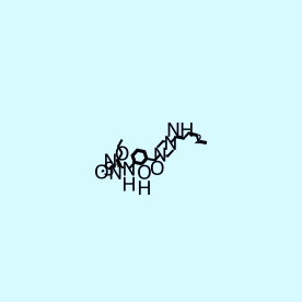 C=C/C=C\C=C(/N)N1CCN(C(=O)c2cccc(Nc3n[s+]([O-])nc3OCC)c2O)CC1